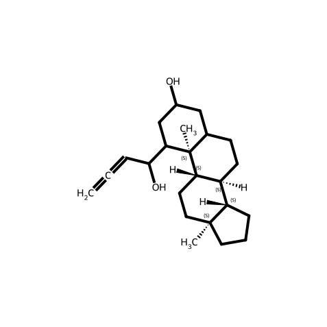 C=C=CC(O)C1CC(O)CC2CC[C@H]3[C@@H]4CCC[C@@]4(C)CC[C@@H]3[C@]21C